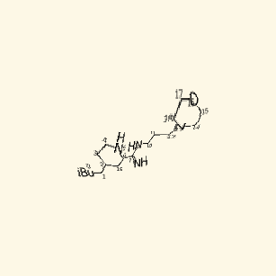 CCC(C)CC1CCNC(C(=N)NCCCN2CCOCC2)C1